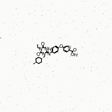 CCn1c(=O)[nH]/c(=N\c2ccc(Oc3ccc(C(=O)O)nc3)cc2)n(C[C@H]2CC[C@H](C)CC2)c1=O